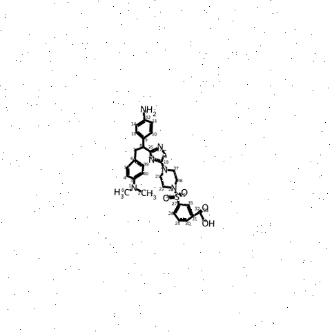 CN(C)c1ccc(CC(c2ccc(N)cc2)c2nsc(N3CCN(S(=O)(=O)c4cccc(C(=O)O)c4)CC3)n2)cc1